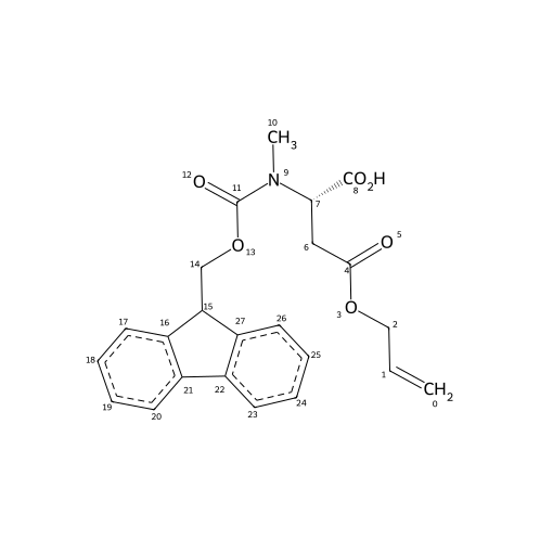 C=CCOC(=O)C[C@@H](C(=O)O)N(C)C(=O)OCC1c2ccccc2-c2ccccc21